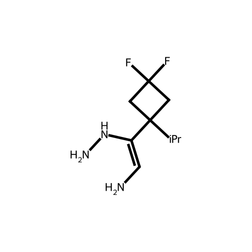 CC(C)C1(/C(=C/N)NN)CC(F)(F)C1